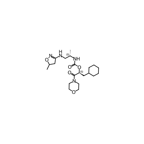 CC1CC(NC[C@H](C)NC(=O)O[C@@H](CC2CCCCC2)C(=O)N2CCOCC2)=NO1